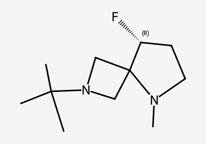 CN1CC[C@@H](F)C12CN(C(C)(C)C)C2